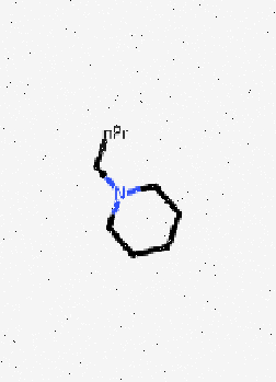 CCCCN1CCCCC1